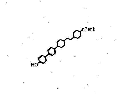 CCCCCC1CCC(CCC2CCC(c3ccc(-c4ccc(O)cc4)cc3)CC2)CC1